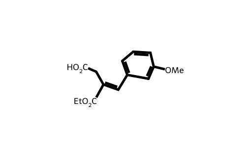 CCOC(=O)C(=Cc1cccc(OC)c1)CC(=O)O